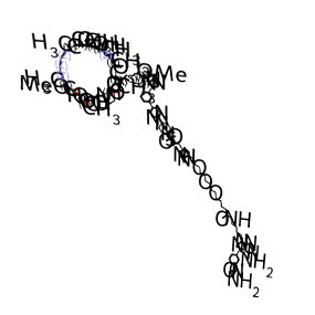 CO[C@@H]1C[C@@H]2CC[C@@H](C)[C@@](O)(O2)C(=O)C(=O)N2CCCC[C@H]2C(=O)O[C@H]([C@H](C)C[C@@H]2CC[C@H](n3nncc3-c3cccc(-c4cnc(N5CCN(S(=O)(=O)CCc6cn(CCOCCOCCOCCCCC(=O)NCCCCn7nc(-c8ccc9oc(N)nc9c8)c8c(N)ncnc87)nn6)CC5)nc4)c3)[C@H](OC)C2)CC(=O)[C@H](C)/C=C(/C)[C@H](O)[C@@H](O)C(=O)[C@H](C)C[C@H](C)\C=C/C=C\C=C/1C